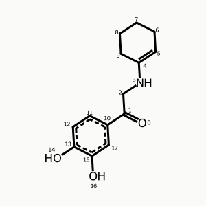 O=C(CNC1=CCCCC1)c1ccc(O)c(O)c1